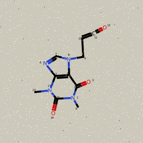 Cn1c(=O)c2c(ncn2CC=C=O)n(C)c1=O